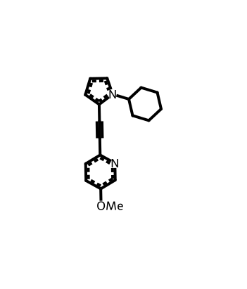 COc1ccc(C#Cc2cccn2C2CCCCC2)nc1